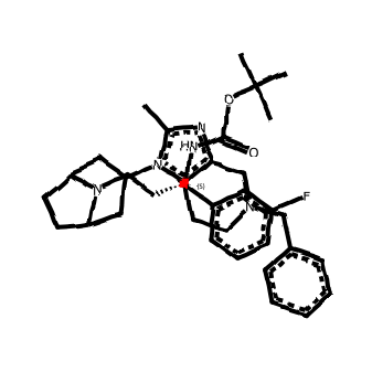 Cc1nc2c(n1C1CC3CCC(C1)N3CC[C@H](NC(=O)OC(C)(C)C)c1cccc(F)c1)CCN(Cc1ccccc1)C2